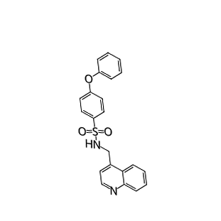 O=S(=O)(NCc1ccnc2ccccc12)c1ccc(Oc2ccccc2)cc1